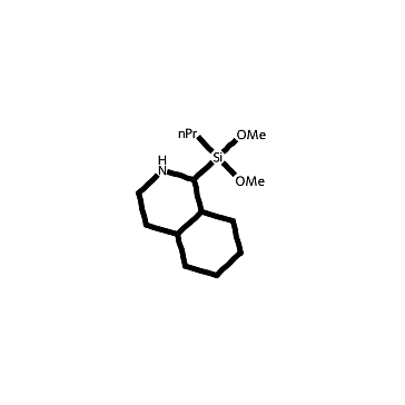 CCC[Si](OC)(OC)C1NCCC2CCCCC21